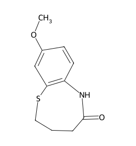 COc1ccc2c(c1)SCCCC(=O)N2